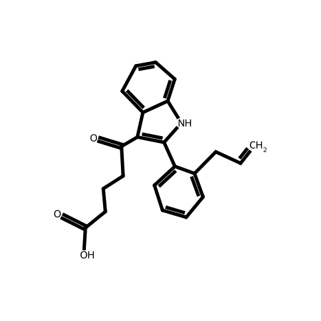 C=CCc1ccccc1-c1[nH]c2ccccc2c1C(=O)CCCC(=O)O